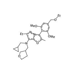 CCOCc1cc(OC)c(-c2c(C)oc3c(N(CC4CC4)CC4CCOC4)c(CC)nn23)c(OC)c1